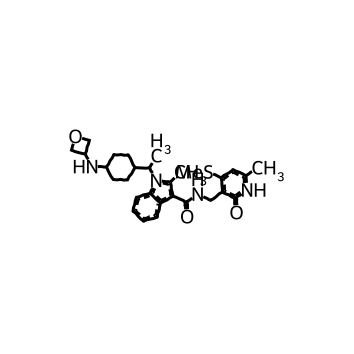 CSc1cc(C)[nH]c(=O)c1CNC(=O)c1c(C)n(C(C)C2CCC(NC3COC3)CC2)c2ccccc12